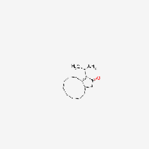 CC(C)C1=C2CCCCCCCCC2CC1=O